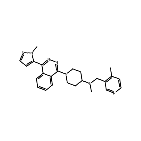 Cc1ccncc1CN(C)C1CCN(c2nnc(-c3ccnn3C)c3ccccc23)CC1